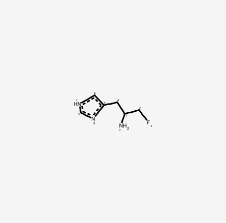 NC(CF)Cc1c[nH]cn1